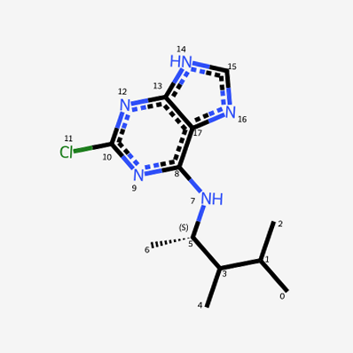 CC(C)C(C)[C@H](C)Nc1nc(Cl)nc2[nH]cnc12